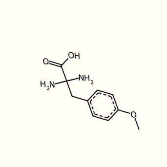 COc1ccc(CC(N)(N)C(=O)O)cc1